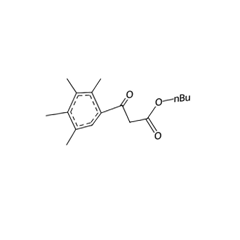 CCCCOC(=O)CC(=O)c1cc(C)c(C)c(C)c1C